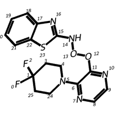 FC1(F)CCN(c2nccnc2OONc2nc3ccccc3s2)CC1